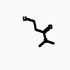 [Li][CH2]CC(=O)N(C)C